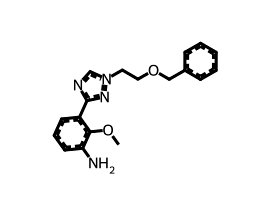 COc1c(N)cccc1-c1ncn(CCOCc2ccccc2)n1